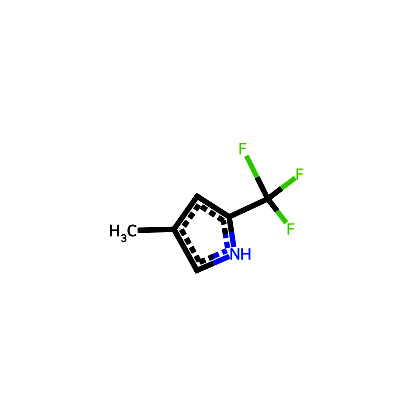 Cc1c[nH]c(C(F)(F)F)c1